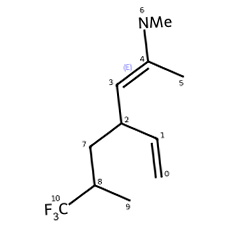 C=CC(/C=C(\C)NC)CC(C)C(F)(F)F